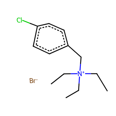 CC[N+](CC)(CC)Cc1ccc(Cl)cc1.[Br-]